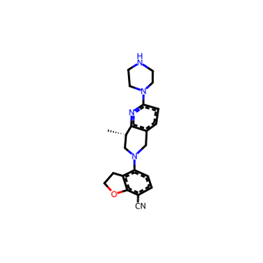 C[C@H]1CN(c2ccc(C#N)c3c2CCO3)Cc2ccc(N3CCNCC3)nc21